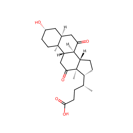 C[C@H](CCC(=O)O)[C@H]1CC[C@H]2[C@@H]3C(=O)C[C@@H]4C[C@@H](O)CC[C@]4(C)[C@H]3CC(=O)[C@]12C